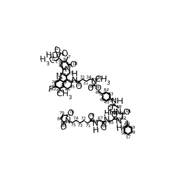 CC[C@@]1(O)C(=O)OCc2c1cc1n(c2=O)Cc2c-1nc1cc(F)c(C)c3c1c2[C@@H](NC(=O)CCCN(C)C(=O)OCc1ccc(NC(=O)CNC(=O)[C@H](Cc2ccccc2)NC(=O)CNC(=O)CNC(=O)CCCCCN2C(=O)C=CC2=O)cc1)CC3